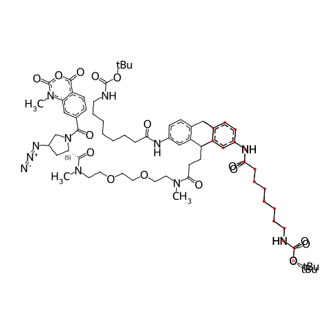 CN(CCOCCOCCN(C)C(=O)[C@@H]1CC(N=[N+]=[N-])CN1C(=O)c1ccc2c(=O)oc(=O)n(C)c2c1)C(=O)CCC12c3cc(NC(=O)CCCCCCCNC(=O)OC(C)(C)C)ccc3C(c3ccc(NC(=O)CCCCCCCNC(=O)OC(C)(C)C)cc31)c1ccc(NC(=O)CCCCCCCNC(=O)OC(C)(C)C)cc12